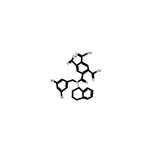 O=C(O)c1cc(C(=O)O)c(C(=O)N(Cc2cc(Br)cc(Br)c2)[C@H]2CCCc3ccccc32)cc1C(=O)O